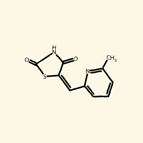 Cc1cccc(C=C2SC(=O)NC2=O)n1